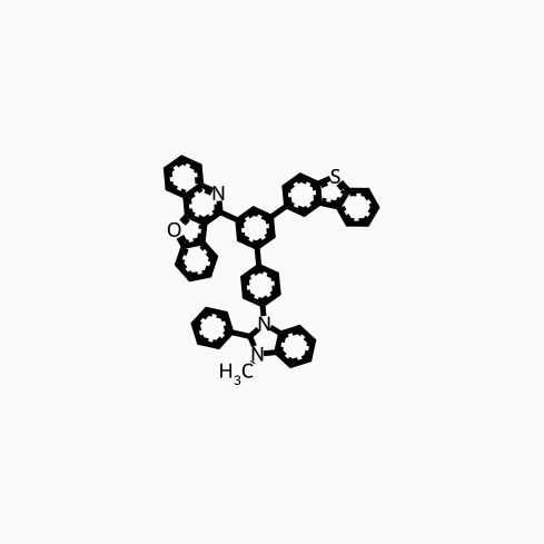 CN1c2ccccc2N(c2ccc(-c3cc(-c4ccc5sc6ccccc6c5c4)cc(-c4nc5ccccc5c5oc6ccccc6c45)c3)cc2)C1c1ccccc1